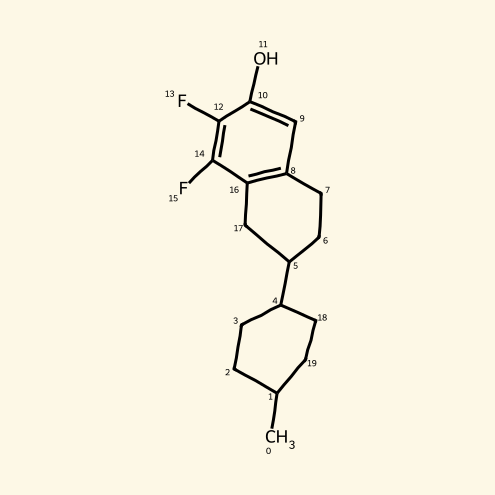 CC1CCC(C2CCc3cc(O)c(F)c(F)c3C2)CC1